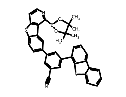 CC1(C)OB(c2nccc3sc4ccc(-c5cc(C#N)cc(-c6cccc7c6sc6ccccc67)c5)cc4c23)OC1(C)C